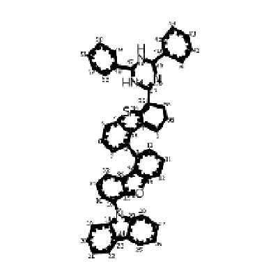 C1=c2c(sc3cccc(-c4cccc5oc6c(-n7c8ccccc8c8ccccc87)cccc6c45)c23)=C(C2=NC(c3ccccc3)NC(c3ccccc3)N2)CC1